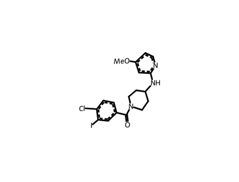 COc1ccnc(NC2CCN(C(=O)c3ccc(Cl)c(I)c3)CC2)c1